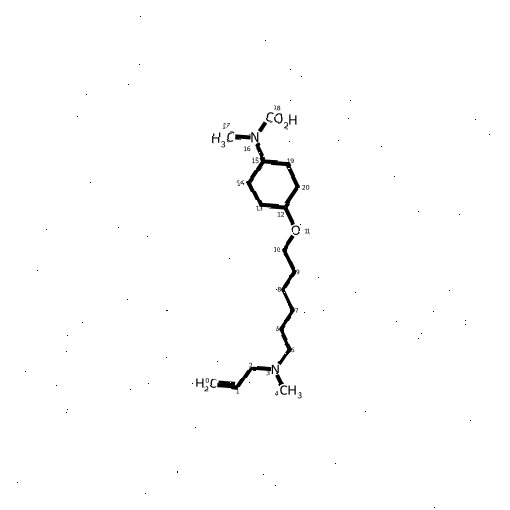 C=CCN(C)CCCCCCOC1CCC(N(C)C(=O)O)CC1